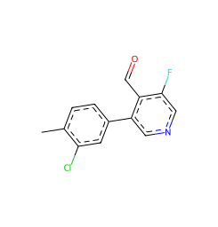 Cc1ccc(-c2cncc(F)c2C=O)cc1Cl